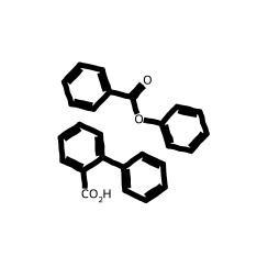 O=C(O)c1ccccc1-c1ccccc1.O=C(Oc1ccccc1)c1ccccc1